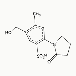 Cc1cc(N2CCCC2=O)c(S(=O)(=O)O)cc1CO